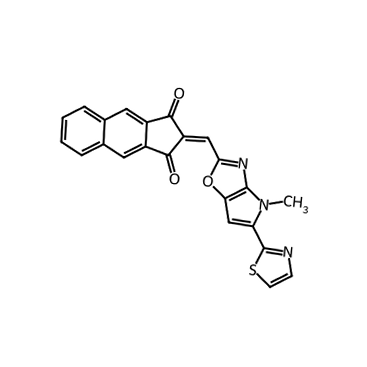 Cn1c(-c2nccs2)cc2oc(C=C3C(=O)c4cc5ccccc5cc4C3=O)nc21